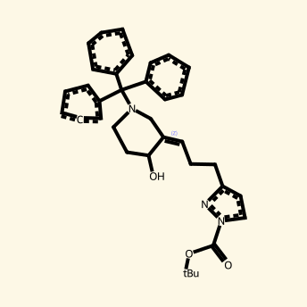 CC(C)(C)OC(=O)n1ccc(CC/C=C2/CN(C(c3ccccc3)(c3ccccc3)c3ccccc3)CCC2O)n1